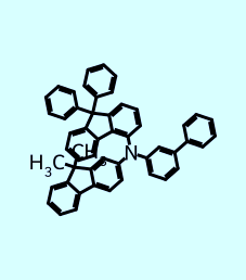 CC1(C)c2ccccc2-c2ccc(N(c3cccc(-c4ccccc4)c3)c3cccc4c3-c3ccccc3C4(c3ccccc3)c3ccccc3)cc21